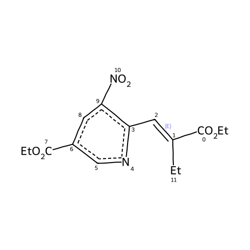 CCOC(=O)/C(=C/c1ncc(C(=O)OCC)cc1[N+](=O)[O-])CC